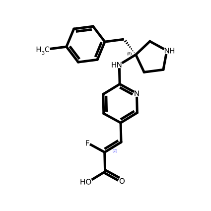 Cc1ccc(C[C@@]2(Nc3ccc(/C=C(\F)C(=O)O)cn3)CCNC2)cc1